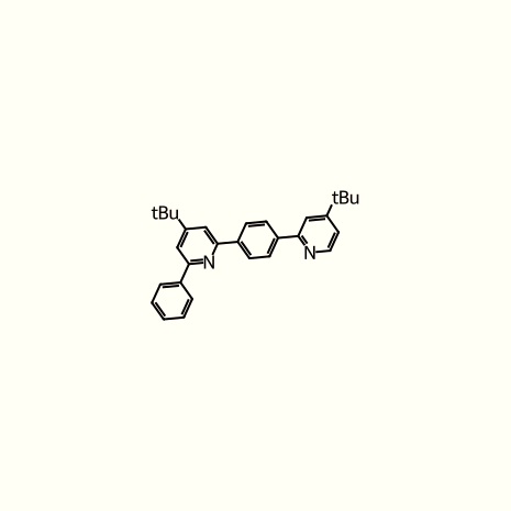 CC(C)(C)c1ccnc(-c2ccc(-c3cc(C(C)(C)C)cc(-c4ccccc4)n3)cc2)c1